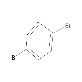 [B]c1ccc(CC)cc1